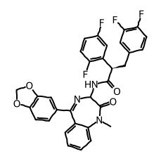 CN1C(=O)C(NC(=O)[C@H](Cc2ccc(F)c(F)c2)c2cc(F)ccc2F)N=C(c2ccc3c(c2)OCO3)c2ccccc21